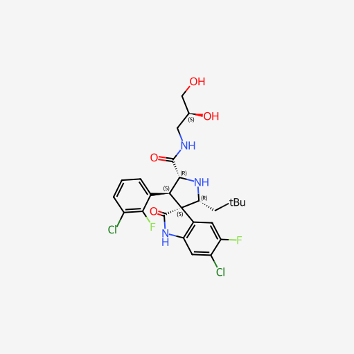 CC(C)(C)C[C@H]1N[C@@H](C(=O)NC[C@H](O)CO)[C@H](c2cccc(Cl)c2F)[C@@]12C(=O)Nc1cc(Cl)c(F)cc12